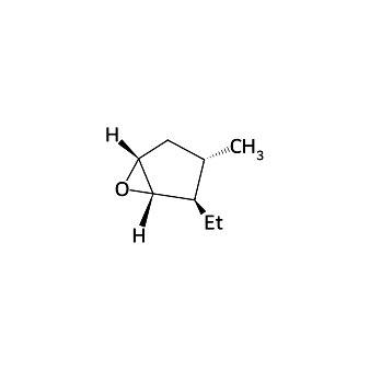 CC[C@H]1[C@@H]2O[C@@H]2C[C@@H]1C